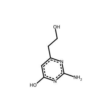 Nc1nc(O)cc(CCO)n1